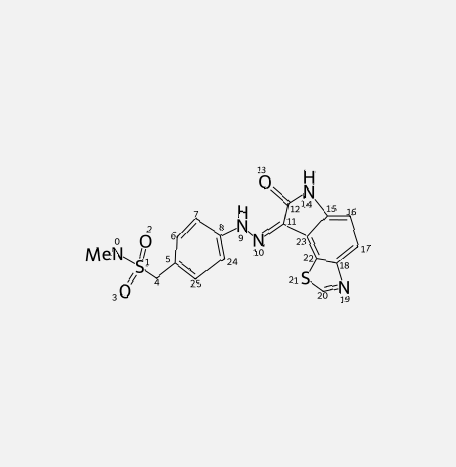 CNS(=O)(=O)Cc1ccc(N/N=C2\C(=O)Nc3ccc4ncsc4c32)cc1